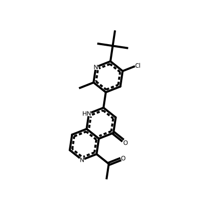 CC(=O)c1nccc2[nH]c(-c3cc(Cl)c(C(C)(C)C)nc3C)cc(=O)c12